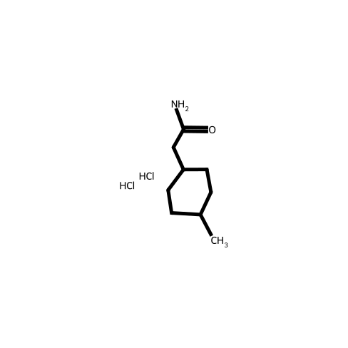 CC1CCC(CC(N)=O)CC1.Cl.Cl